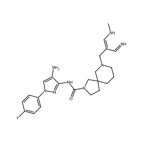 CN/C=C(\C=N)CN1CCCC2(CCN(C(=O)Nc3nn(-c4ccc(F)cc4)cc3N)C2)C1